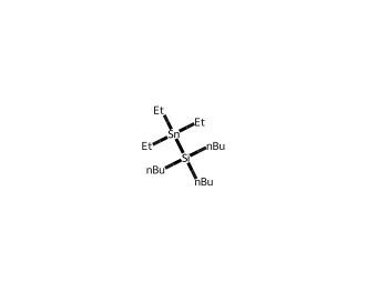 CCCC[Si](CCCC)(CCCC)[Sn]([CH2]C)([CH2]C)[CH2]C